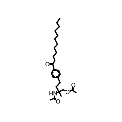 CCCCCCCCCCCC(=O)c1ccc(CCC(C)(COC(C)=O)NC(C)=O)cc1